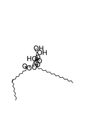 CCCCCCCC/C=C\CCCCCCCC(=O)OC[C@H](COP(=O)(O)OC[C@@H](O)CO)OC(=O)CCCCCCCCCCCCCCCCC